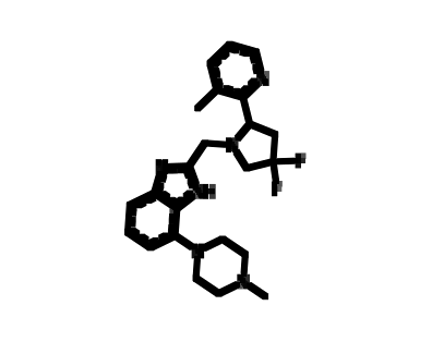 Cc1cccnc1C1CC(F)(F)CN1Cc1nc2cccc(N3CCN(C)CC3)c2[nH]1